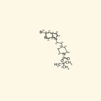 CC(C)(C)OC(=O)N1CCC(CCn2ccc3cc(Br)ncc32)CC1